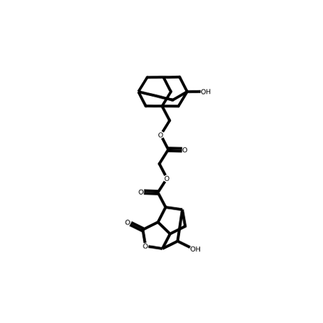 O=C(COC(=O)C1C2CC3C(OC(=O)C31)C2O)OCC12CC3CC(CC(O)(C3)C1)C2